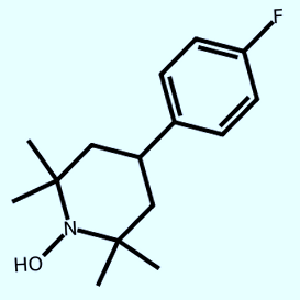 CC1(C)CC(c2ccc(F)cc2)CC(C)(C)N1O